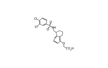 O=C(O)COc1cccc2c1CCCC2CNS(=O)(=O)c1ccc(Cl)c(Cl)c1